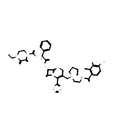 CCN1CCN(C(=O)N[C@@H](C(=O)N[C@@H]2C(=O)N3C(c4nnn[nH]4)=C(C[N+]4(CCNC(=O)c5ccc(O)c(O)c5Cl)CCCC4)CS[C@H]23)c2ccccc2)C(=O)C1=O